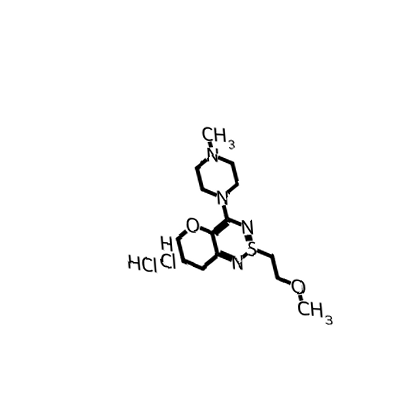 COCCS1=NC(N2CCN(C)CC2)=C2OCCCC2=N1.Cl.Cl